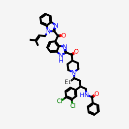 CCC(CC(CNC(=O)c1ccccc1)c1ccc(Cl)c(Cl)c1)N1CCC(C(=O)c2nc3c(C(=O)c4nc5ccccc5n4CC=C(C)C)cccc3[nH]2)CC1